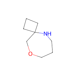 C1CNC2(CCC2)COC1